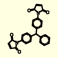 O=C1C=CC(=O)N1c1ccc(C(c2ccccc2)c2ccc(N3C(=O)C=CC3=O)cc2)cc1